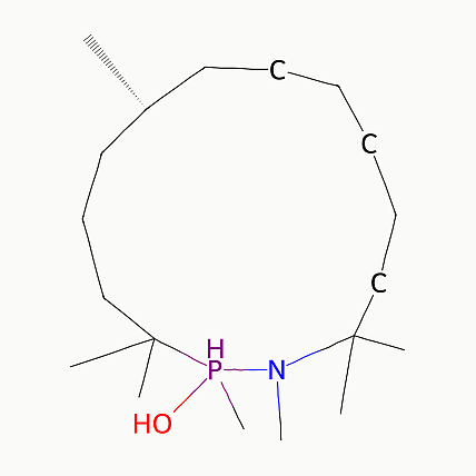 C[C@@H]1CCCCCCC(C)(C)N(C)[PH](C)(O)C(C)(C)CCC1